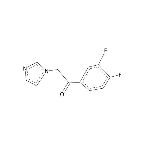 O=C(Cn1ccnc1)c1ccc(F)c(F)c1